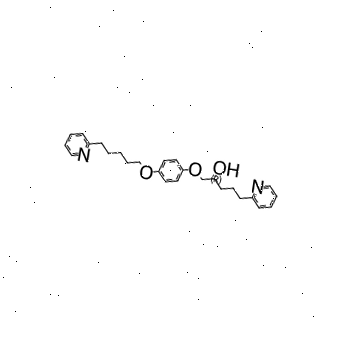 O[C@H](CCCc1ccccn1)COc1ccc(OCCCCCc2ccccn2)cc1